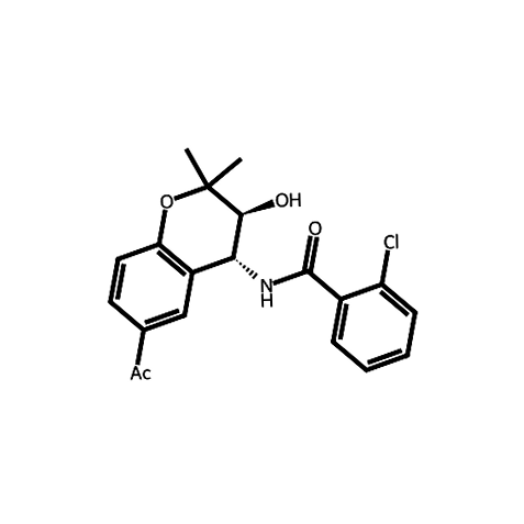 CC(=O)c1ccc2c(c1)[C@@H](NC(=O)c1ccccc1Cl)[C@H](O)C(C)(C)O2